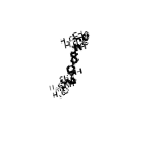 COC(=O)N[C@H](C(=O)N1CCC[C@H]1c1nc2ccc(-c3ccc4cc(-c5cnc([C@@H]6CSC7(CCOCC7)N6C(=O)[C@@H](C)C(C)C)[nH]5)ccc4c3)cc2[nH]1)C(C)C